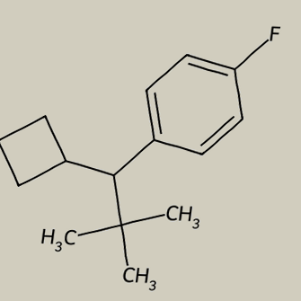 CC(C)(C)C(c1ccc(F)cc1)C1CCC1